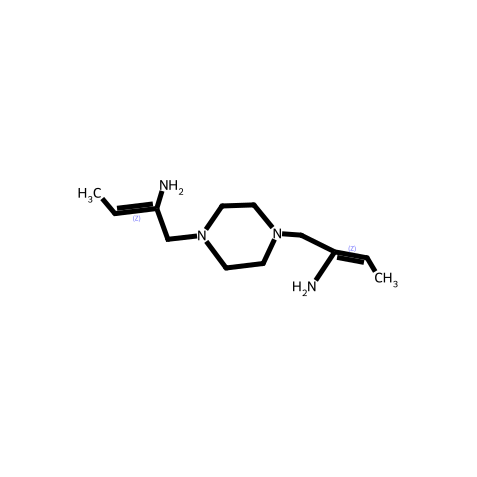 C/C=C(\N)CN1CCN(C/C(N)=C/C)CC1